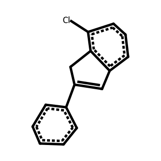 Clc1cccc2c1CC(c1ccccc1)=C2